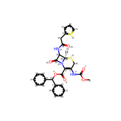 COC(=O)NC1=C(C(=O)OC(c2ccccc2)c2ccccc2)N2C(=O)C(NC(=O)Cc3cccs3)[C@H]2SC1